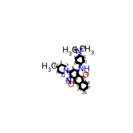 CC1CCN(c2cc(Nc3ccc(N(C)C)cc3)c3c4c(onc24)-c2ccccc2C3=O)CC1